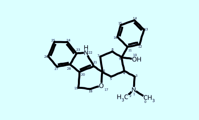 CN(C)CC1CC2(CCC1(O)c1ccccc1)OCCc1c2[nH]c2ccccc12